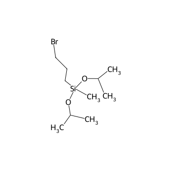 CC(C)O[Si](C)(CCCBr)OC(C)C